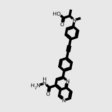 CC(C(=O)O)N(C)c1ccc(C#Cc2ccc(-c3cc(C(=O)NN)c4cnccc4n3)cc2)cc1